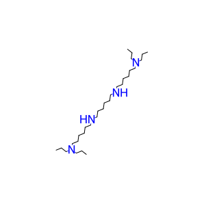 CCCN(CCC)CCCCCCNCCCCCCNCCCCCCN(CCC)CCC